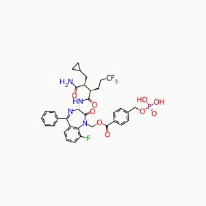 NC(=O)[C@@H](CC1CC1)[C@@H](CCC(F)(F)F)C(=O)N[C@H]1N=C(c2ccccc2)c2cccc(F)c2N(COC(=O)c2ccc(COP(=O)(O)O)cc2)C1=O